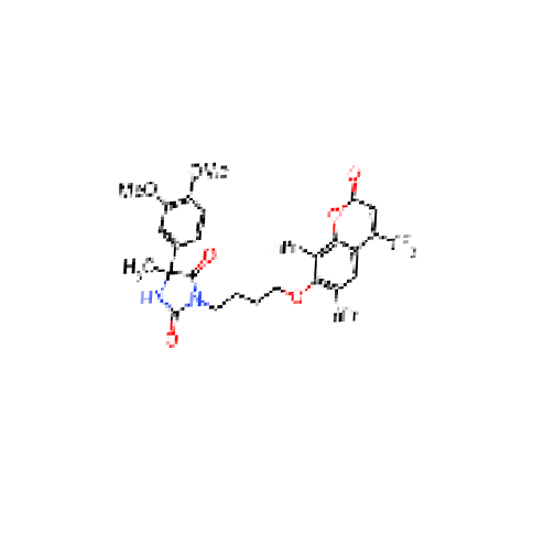 CCCc1cc2c(C(F)(F)F)cc(=O)oc2c(CCC)c1OCCCCN1C(=O)NC(C)(c2ccc(OC)c(OC)c2)C1=O